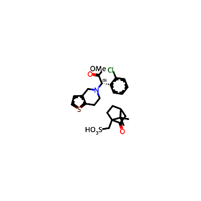 CC1(C)C2CCC1(CS(=O)(=O)O)C(=O)C2.COC(=O)[C@H](c1ccccc1Cl)N1CCc2sccc2C1